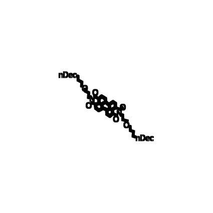 CCCCCCCCCCCCCCOCCCN1C(=O)c2ccc3c4ccc5c6c(ccc(c7ccc(c2c37)C1=O)c64)C(=O)N(CCCOCCCCCCCCCCCCCC)C5=O